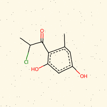 Cc1cc(O)cc(O)c1C(=O)C(C)Cl